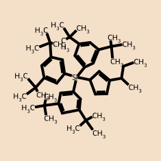 CCC(C)C1=C[C]([Si](c2cc(C(C)(C)C)cc(C(C)(C)C)c2)(c2cc(C(C)(C)C)cc(C(C)(C)C)c2)c2cc(C(C)(C)C)cc(C(C)(C)C)c2)C=C1